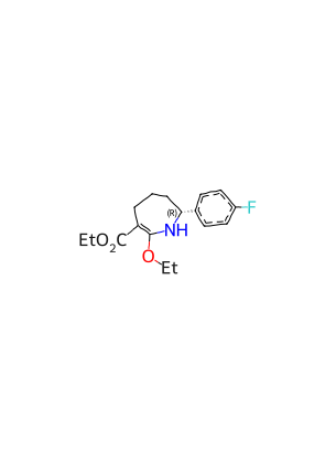 CCOC(=O)C1=C(OCC)N[C@@H](c2ccc(F)cc2)CCC1